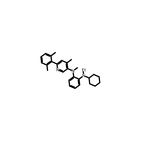 CCN(c1ccccc1N(C)c1cnc(-c2c(C)cccc2C)cc1C)C1CCCCC1